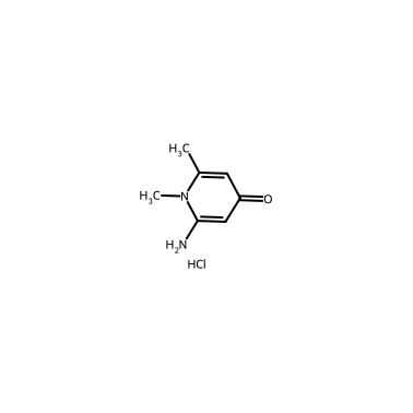 Cc1cc(=O)cc(N)n1C.Cl